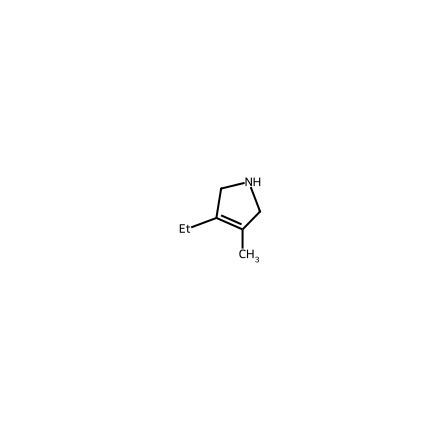 CCC1=C(C)CNC1